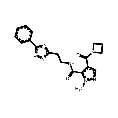 Cn1ncc(C(=O)N2CCC2)c1C(=O)NCCc1noc(-c2ccccc2)n1